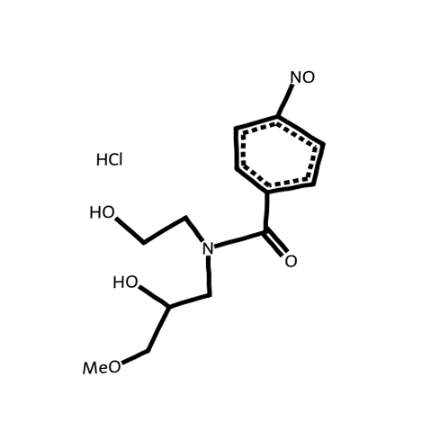 COCC(O)CN(CCO)C(=O)c1ccc(N=O)cc1.Cl